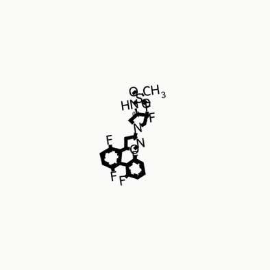 CS(=O)(=O)N[C@@H]1CN(C2=NOC(c3c(F)ccc(F)c3-c3c(F)cccc3F)C2)CC1(F)F